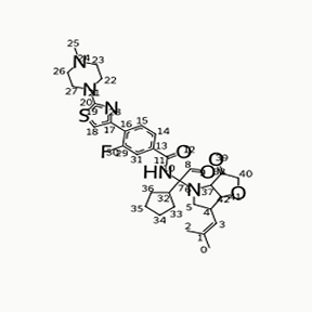 CC(C)=CC1CN(C(C=O)(NC(=O)c2ccc(-c3csc(N4CCN(C)CC4)n3)c(F)c2)C2CCCC2)C2C(=O)COC12